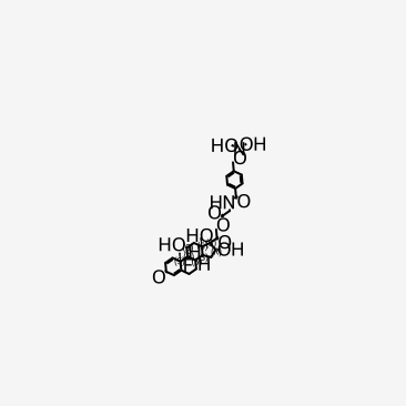 C[C@]12C=CC(=O)C=C1CC[C@H]1[C@@H]3C[C@@H](O)[C@](O)(C(=O)COC(=O)CNC(=O)c4ccc(CON(O)O)cc4)[C@@]3(C)C[C@H](O)[C@@]12F